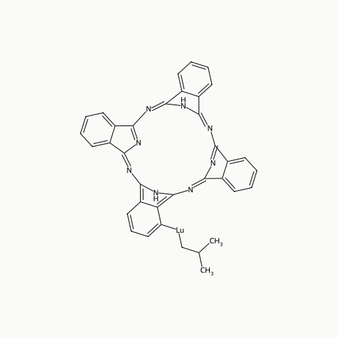 CC(C)[CH2][Lu][c]1cccc2c3nc4nc(nc5[nH]c(nc6nc(nc([nH]3)c12)-c1ccccc1-6)c1ccccc51)-c1ccccc1-4